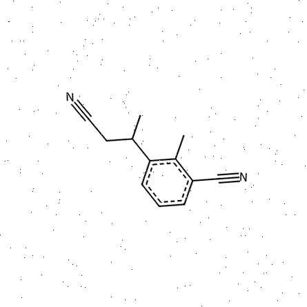 Cc1c(C#N)cccc1C(C)CC#N